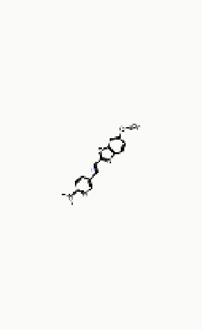 CCCOc1ccc2nc(/C=C/c3ccc(N(C)C)nc3)sc2c1